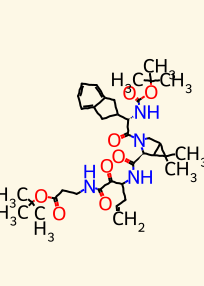 C=CCC(NC(=O)[C@@H]1C2C(CN1C(=O)[C@@H](NC(=O)OC(C)(C)C)C1Cc3ccccc3C1)C2(C)C)C(=O)C(=O)NCCC(=O)OC(C)(C)C